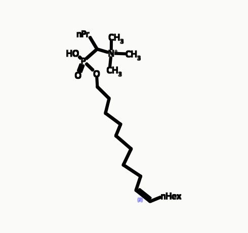 CCCCCC/C=C\CCCCCCCCOP(=O)(O)C(CCC)[N+](C)(C)C